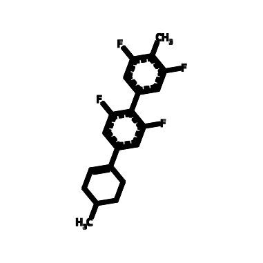 Cc1c(F)cc(-c2c(F)cc(C3=CCC(C)CC3)cc2F)cc1F